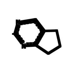 [c]1ncc2c(n1)CCC2